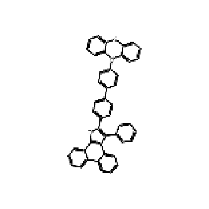 c1ccc(-c2c(-c3ccc(-c4ccc(N5c6ccccc6Sc6ccccc65)cc4)cc3)oc3c4ccccc4c4ccccc4c23)cc1